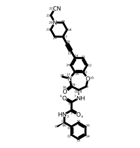 C[C@@H](NC(=O)C(=O)N[C@H]1COc2ccc(C#CC3CCN(CC#N)CC3)cc2N(C)C1=O)c1ccccc1